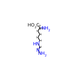 NN=CNCCCCC(N)C(=O)O